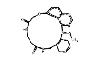 CON1C2=C(CC=CC2)CNC(=O)CCNC(=O)COc2ccc3ncnc1c3c2